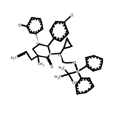 C=CCC1(C)C[C@H](c2cccc(Cl)c2)C(c2ccc(Cl)cc2)N([C@H](CO[Si](c2ccccc2)(c2ccccc2)C(C)(C)C)C2CC2)C1=O